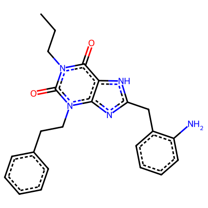 CCCn1c(=O)c2[nH]c(Cc3ccccc3N)nc2n(CCc2ccccc2)c1=O